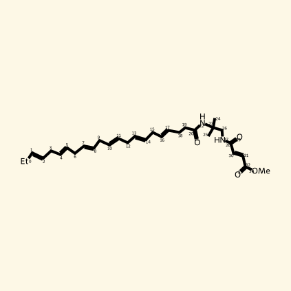 CCC=CCC=CCC=CCC=CCC=CCC=CCCC(=O)NC(C)(C)CNC(=O)C=CC(=O)OC